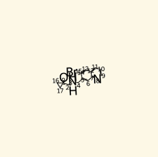 OC1(CNCc2cc3ncccc3cc2Br)CC1